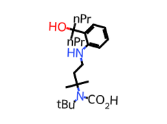 CCCC(O)(CCC)c1ccccc1NCCC(C)(C)N(C(=O)O)C(C)(C)C